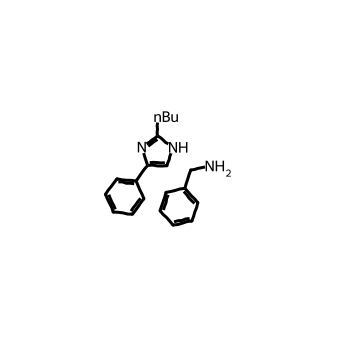 CCCCc1nc(-c2ccccc2)c[nH]1.NCc1ccccc1